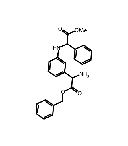 COC(=O)C(Nc1cccc(C(N)C(=O)OCc2ccccc2)c1)c1ccccc1